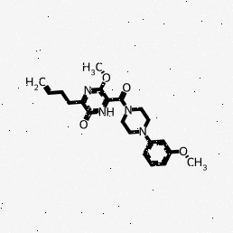 C=CCCc1nc(OC)c(C(=O)N2CCN(c3cccc(OC)c3)CC2)[nH]c1=O